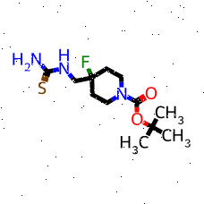 CC(C)(C)OC(=O)N1CCC(F)(CNC(N)=S)CC1